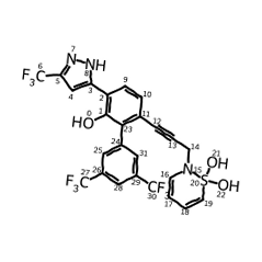 Oc1c(-c2cc(C(F)(F)F)n[nH]2)ccc(C#CCN2C=CC=CS2(O)O)c1-c1cc(C(F)(F)F)cc(C(F)(F)F)c1